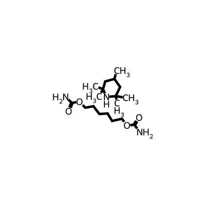 CC1CC(C)(C)NC(C)(C)C1.NC(=O)OCCCCCCOC(N)=O